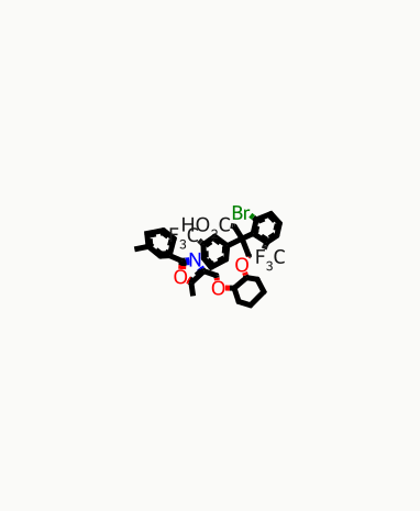 Cc1cccc(-c2nc(COC3CCCCC3OCC(CC(=O)O)(c3cccc(C(F)(F)F)c3)c3c(Br)cccc3C(F)(F)F)c(C)o2)c1